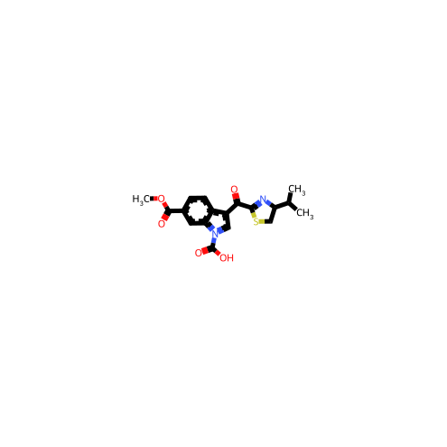 COC(=O)c1ccc2c(C(=O)C3=NC(C(C)C)CS3)cn(C(=O)O)c2c1